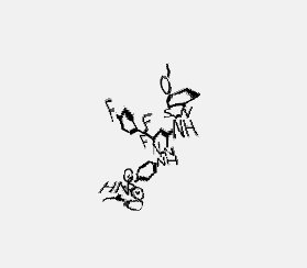 CCOc1ccc2nc(Nc3cc(C(F)(F)c4ccc(F)cc4)nc(Nc4ccc(S(=O)(=O)NC(C)=O)cc4)n3)sc2c1